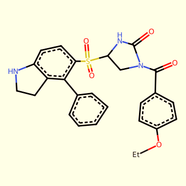 CCOc1ccc(C(=O)N2CC(S(=O)(=O)c3ccc4c(c3-c3ccccc3)CCN4)NC2=O)cc1